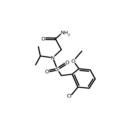 COc1cccc(Cl)c1CS(=O)(=O)N(CC(N)=O)C(C)C